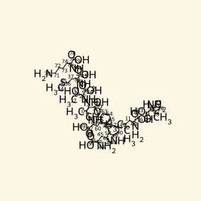 CC(C)C(N)C(=O)O.CC(C)CC(N)C(=O)O.CC(O)C(N)C(=O)O.CCC(C)C(N)C(=O)O.CSCCC(N)C(=O)O.NC(Cc1c[nH]c2ccccc12)C(=O)O.NC(Cc1ccccc1)C(=O)O.NCCCCC(N)C(=O)O